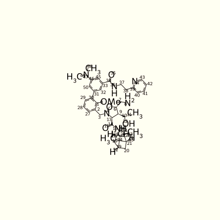 COc1c(CN2O[C@@H](CN)[C@@H]([C@H](C)O)[C@H]2C(=O)N[C@H]2C[C@H]3C[C@@H]([C@@H]2C)C3(C)C)cccc1-c1cc(C(=O)NCCc2ccccn2)cc(N(C)C)c1